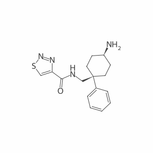 N[C@H]1CC[C@](CNC(=O)c2csnn2)(c2ccccc2)CC1